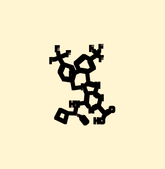 C#C[C@@H](Nc1nc(C(=O)O)nc2nc(-c3cc(C(F)(F)F)ccc3F)n(Cc3ccc(C(F)(F)F)cc3)c12)C1CCC1